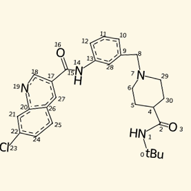 CC(C)(C)NC(=O)C1CCN(Cc2cccc(NC(=O)c3cnc4cc(Cl)ccc4c3)c2)CC1